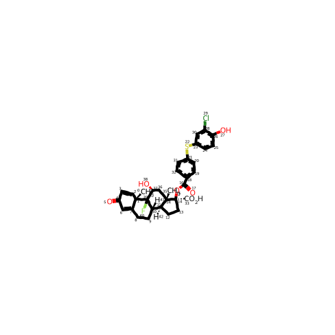 C[C@]12C=CC(=O)C=C1CC[C@H]1[C@@H]3CC[C@@](OC(=O)c4ccc(Sc5ccc(O)c(Cl)c5)cc4)(C(=O)O)[C@@]3(C)C[C@H](O)C12F